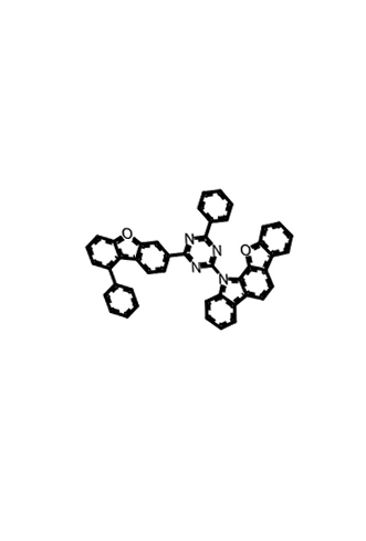 c1ccc(-c2nc(-c3ccc4c(c3)oc3cccc(-c5ccccc5)c34)nc(-n3c4ccccc4c4ccc5c6ccccc6oc5c43)n2)cc1